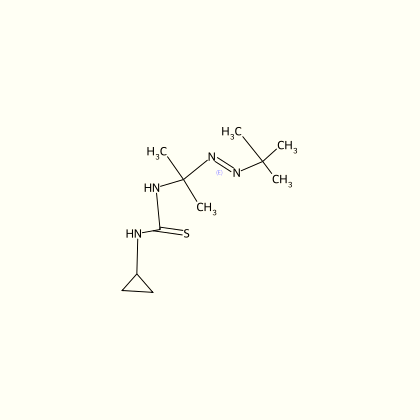 CC(C)(C)/N=N/C(C)(C)NC(=S)NC1CC1